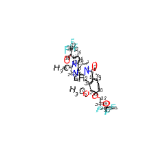 COc1cc(C(=O)N2CCC3(CC2)c2ccc(C(=O)C(F)(F)F)n2C(C)CN3C)ccc1OCCOC(F)(F)F